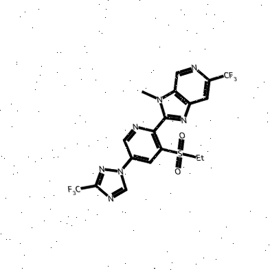 CCS(=O)(=O)c1cc(-n2cnc(C(F)(F)F)n2)cnc1-c1nc2cc(C(F)(F)F)ncc2n1C